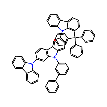 c1ccc(-c2cccc(-n3c4ccc(-n5c6ccccc6c6cccc([Si](c7ccccc7)(c7ccccc7)c7ccccc7)c65)cc4c4ccc(-n5c6ccccc6c6ccccc65)cc43)c2)cc1